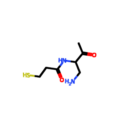 CC(=O)C(CN)NC(=O)CCS